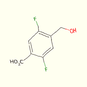 O=C(O)c1cc(F)c(CO)cc1F